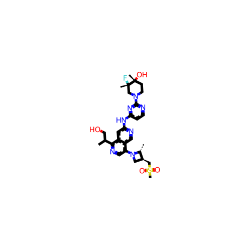 CC(CO)c1ncc(N2C[C@H](CS(C)(=O)=O)[C@H]2C)c2cnc(Nc3ccnc(N4CC[C@@](C)(O)[C@@](C)(F)C4)n3)cc12